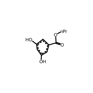 CCCOC(=O)c1cc(O)cc(O)c1